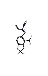 C=C/C(C#N)=C\c1ccc2c(c1C(F)F)CC(F)(F)S2